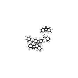 c1ccc(C(CCc2cccc3sc4ccccc4c23)c2ccc(-c3cc4c(oc5cccc(N(c6ccccc6)c6ccccc6)c54)c4ccccc34)cc2)cc1